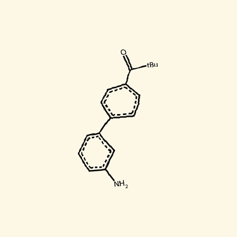 CC(C)(C)C(=O)c1ccc(-c2cccc(N)c2)cc1